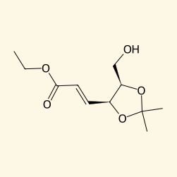 CCOC(=O)/C=C/[C@@H]1OC(C)(C)O[C@@H]1CO